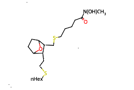 CCCCCCSCCC1C2CCC(O2)C1CSCCCCC(=O)N(C)O